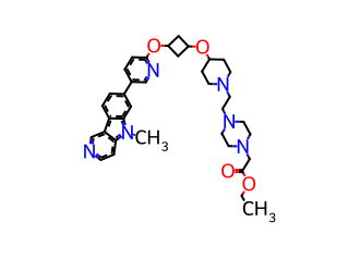 CCOC(=O)CN1CCN(CCN2CCC(OC3CC(Oc4ccc(-c5ccc6c7cnccc7n(C)c6c5)cn4)C3)CC2)CC1